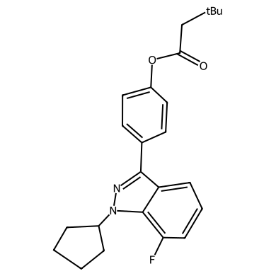 CC(C)(C)CC(=O)Oc1ccc(-c2nn(C3CCCC3)c3c(F)cccc23)cc1